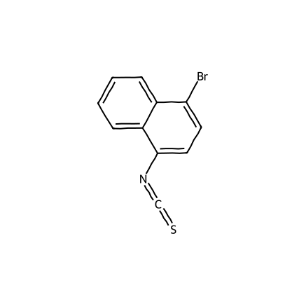 S=C=Nc1ccc(Br)c2ccccc12